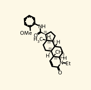 CCN1C(=O)C=C[C@]2(C)[C@H]3CC[C@]4(C)[C@@H](C(=O)Nc5ccccc5OC)CC[C@H]4[C@@H]3CC[C@@H]12